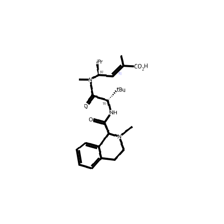 C/C(=C\[C@H](C(C)C)N(C)C(=O)[C@@H](NC(=O)C1c2ccccc2CCN1C)C(C)(C)C)C(=O)O